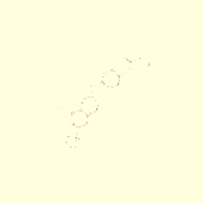 CC(C)Nc1nc(C2(C)COC2)cc2cnc(Nc3ccc(N4CCNCC4=O)cn3)nc12